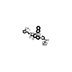 CN1CCCC1CCNC(=O)c1cn2c3c(c(N4CCC(NC(=O)OC(C)(C)C)C4)ccc3c1=O)Oc1cc3ccccc3cc1-2